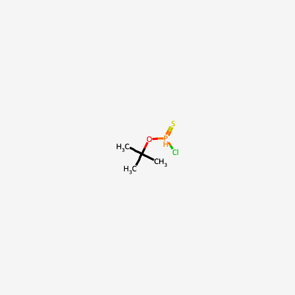 CC(C)(C)O[PH](=S)Cl